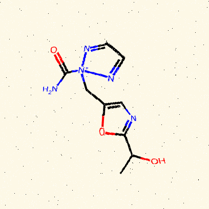 CC(O)c1ncc(C[N+]2(C(N)=O)N=[C]C=N2)o1